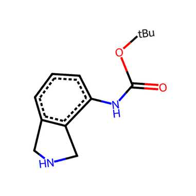 CC(C)(C)OC(=O)Nc1cccc2c1CNC2